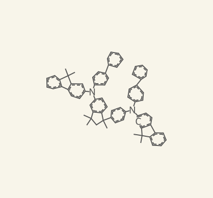 CC1(C)CC(C)(c2ccc(N(c3ccc(-c4ccccc4)cc3)c3ccc4c(c3)C(C)(C)c3ccccc3-4)cc2)c2ccc(N(c3ccc(-c4ccccc4)cc3)c3ccc4c(c3)C(C)(C)c3ccccc3-4)cc21